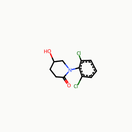 O=C1CCC(O)CN1c1c(Cl)cccc1Cl